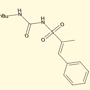 CCCCNC(=O)NS(=O)(=O)/C(C)=C/c1ccccc1